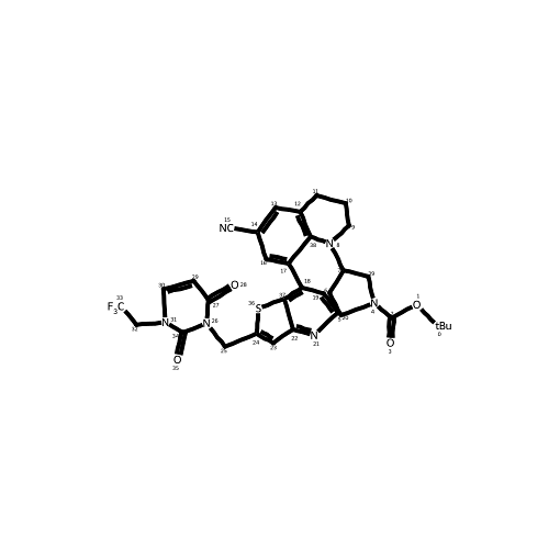 CC(C)(C)OC(=O)N1CCC(N2CCCc3cc(C#N)cc(-c4ccnc5cc(Cn6c(=O)ccn(CC(F)(F)F)c6=O)sc45)c32)C1